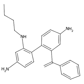 C=C(c1ccccc1)c1cc(N)ccc1-c1ccc(N)cc1NCCCC